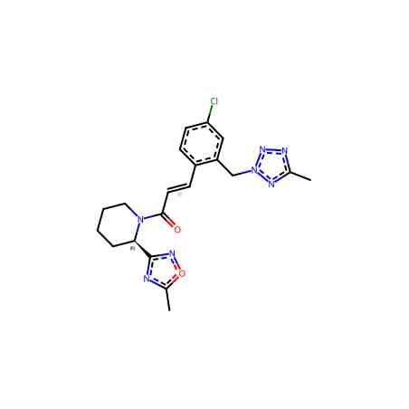 Cc1nnn(Cc2cc(Cl)ccc2/C=C/C(=O)N2CCCC[C@@H]2c2noc(C)n2)n1